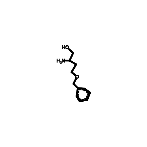 NC(CO)CCOCc1ccccc1